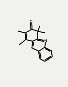 CC1=C(C)c2nc3ccccc3nc2C(C)(C)C1=O